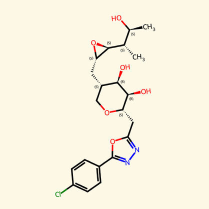 C[C@H]([C@@H]1O[C@H]1C[C@H]1CO[C@@H](Cc2nnc(-c3ccc(Cl)cc3)o2)[C@H](O)[C@@H]1O)[C@H](C)O